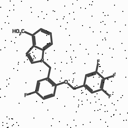 O=C(O)c1cccc2c1ccn2Cc1cc(F)ccc1OCc1cc(F)c(F)c(F)c1